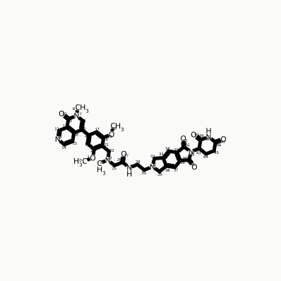 COc1cc(-c2cn(C)c(=O)c3cnccc23)cc(OC)c1CN(C)CC(=O)NCCN1Cc2cc3c(cc2C1)C(=O)N(C1CCC(=O)NC1=O)C3=O